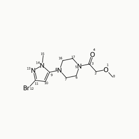 COCC(=O)N1CCN(c2cc(Br)nn2C)CC1